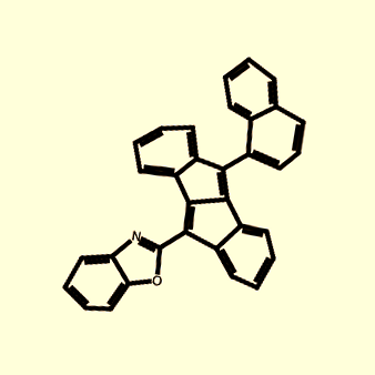 c1ccc2c(c1)C1=C(c3cccc4ccccc34)c3ccccc3C1=C2c1nc2ccccc2o1